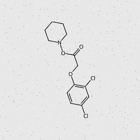 O=C(COc1ccc(Cl)cc1Cl)ON1CCCCC1